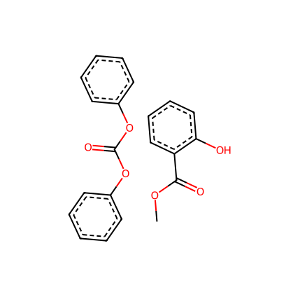 COC(=O)c1ccccc1O.O=C(Oc1ccccc1)Oc1ccccc1